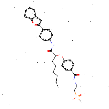 CCCCCCC(Oc1ccc(C(=O)NCCP(C)(=O)O)cc1)C(=O)Nc1ccc(-c2cc3ccccc3o2)cc1